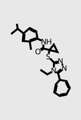 CCn1c(SC2(C(=O)Nc3ccc(C(C)C)cc3C)CC2)nnc1C1C=CC=CC=C1